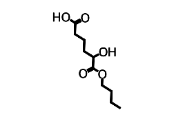 CCCCOC(=O)C(O)CCCC(=O)O